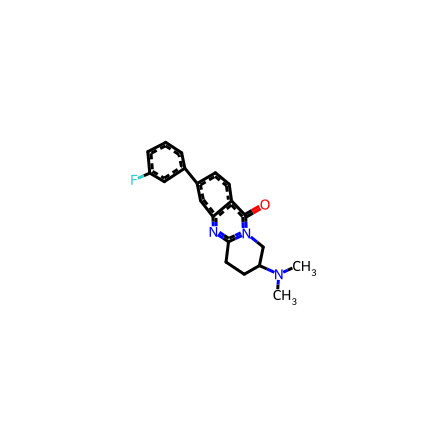 CN(C)C1CCc2nc3cc(-c4cccc(F)c4)ccc3c(=O)n2C1